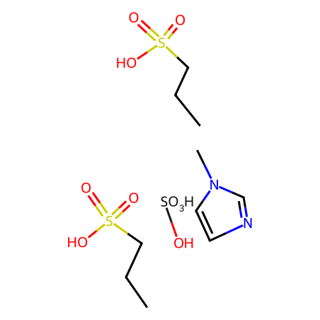 CCCS(=O)(=O)O.CCCS(=O)(=O)O.Cn1ccnc1.O=S(=O)(O)O